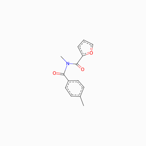 Cc1ccc(C(=O)N(C)C(=O)c2ccco2)cc1